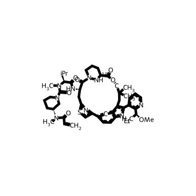 C=CC(=O)N(C)[C@@H]1CCCN(C(=O)N(C)[C@H](C(=O)N[C@H]2Cc3nc(cs3)-c3ccc4c(c3)c(c(-c3cccnc3[C@H](C)OC)n4CC)CC(C)(C)COC(=O)[C@@H]3CCCN(N3)C2=O)C(C)C)C1